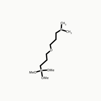 CO[Si](CCCOCCCN(C)C)(OC)OC